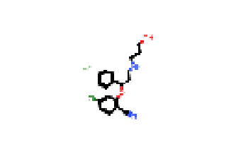 Cl.N#Cc1ccc(Cl)cc1O[C@H](CCNCCCO)c1ccccc1